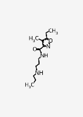 CCCNCCCNC(=O)c1noc(CC)c1C